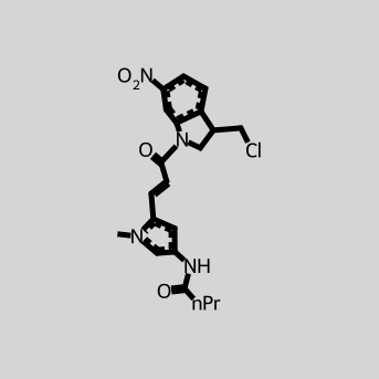 CCCC(=O)Nc1cc(C=CC(=O)N2CC(CCl)c3ccc([N+](=O)[O-])cc32)n(C)c1